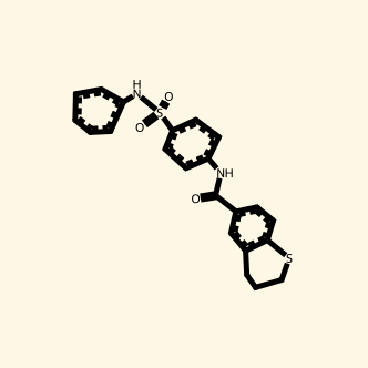 O=C(Nc1ccc(S(=O)(=O)Nc2ccccc2)cc1)c1ccc2c(c1)CCCS2